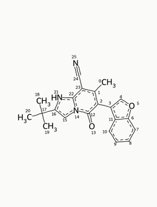 Cc1c(-c2coc3ccccc23)c(=O)n2cc(C(C)(C)C)[nH]c2c1C#N